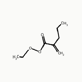 C=C(CCC)C(=O)OOCC